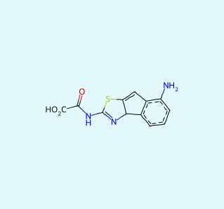 Nc1cccc2c1C=C1SC(NC(=O)C(=O)O)=NC12